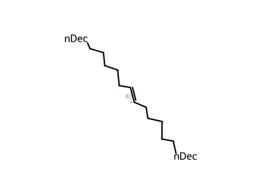 CCCCCCCCCCCCCCC/[C]=C/CCCCCCCCCCCCCCC